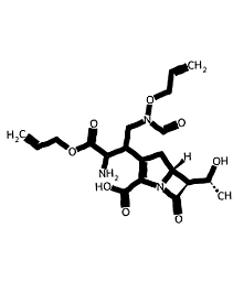 C=CCOC(=O)C(N)C(CN(C=O)OCC=C)C1=C(C(=O)O)N2C(=O)[C@H]([C@@H](C)O)[C@H]2C1